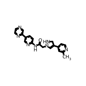 Cc1cc(C2=CN(CC(=O)Nc3ccc(-c4cnccn4)cn3)NC2)ccn1